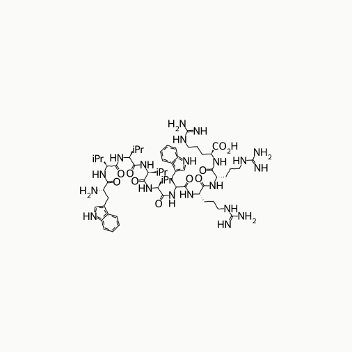 CC(C)[C@H](NC(=O)[C@@H](NC(=O)[C@@H](NC(=O)[C@@H](NC(=O)[C@@H](N)Cc1c[nH]c2ccccc12)C(C)C)C(C)C)C(C)C)C(=O)N[C@@H](Cc1c[nH]c2ccccc12)C(=O)N[C@@H](CCCNC(=N)N)C(=O)N[C@@H](CCCNC(=N)N)C(=O)N[C@@H](CCCNC(=N)N)C(=O)O